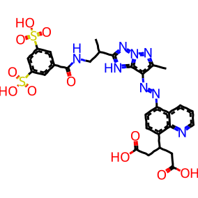 Cc1nn2nc(C(C)CNC(=O)c3cc(S(=O)(=O)O)cc(S(=O)(=O)O)c3)[nH]c2c1N=Nc1ccc(C(CC(=O)O)CC(=O)O)c2ncccc12